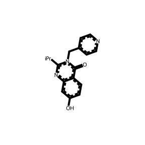 CC(C)c1nc2cc(O)ccc2c(=O)n1Cc1ccncc1